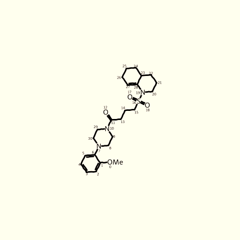 COc1ccccc1N1CCN(C(=O)CCCS(=O)(=O)N2CCCC3CCCC=C32)CC1